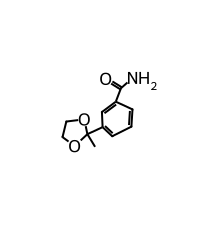 CC1(c2cccc(C(N)=O)c2)OCCO1